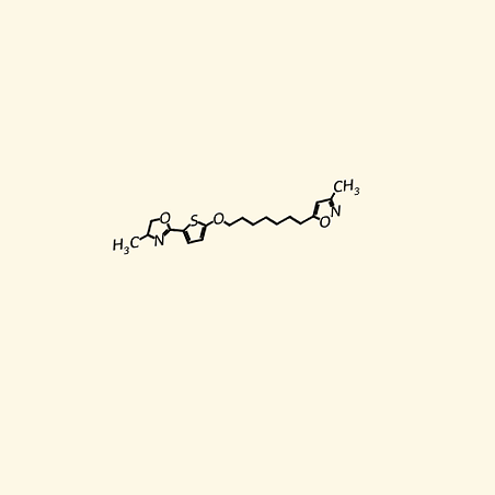 Cc1cc(CCCCCCCOc2ccc(C3=NC(C)CO3)s2)on1